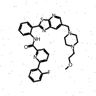 COCCN1CCN(Cc2cnc3sc(-c4ccccc4NC(=O)c4cccc(-c5ccccc5F)n4)nc3c2)CC1